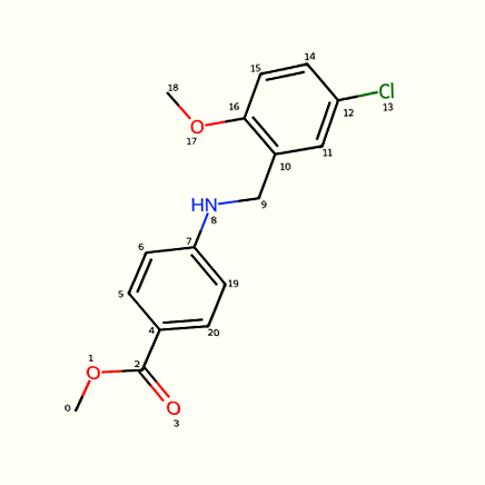 COC(=O)c1ccc(NCc2cc(Cl)ccc2OC)cc1